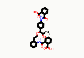 CC(O)C(OCCc1ccccc1NC(=O)c1ccccc1C(=O)O)c1ccc(NC(=O)c2ccccc2C(=O)O)cc1